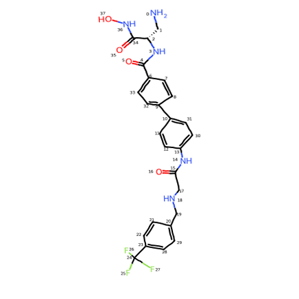 NC[C@H](NC(=O)c1ccc(-c2ccc(NC(=O)CNCc3ccc(C(F)(F)F)cc3)cc2)cc1)C(=O)NO